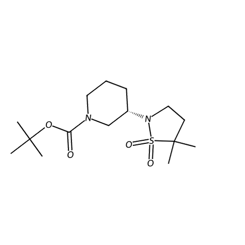 CC(C)(C)OC(=O)N1CCC[C@H](N2CCC(C)(C)S2(=O)=O)C1